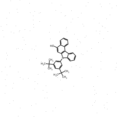 CC(C)(C)c1cc(-n2c3ccccc3c3c4ccccc4c(O)cc32)cc(C(C)(C)C)c1